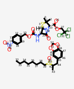 CC1(C)S[C@@H]2C(NC(=O)OCc3ccc([N+](=O)[O-])cc3)C(=O)N2[C@H]1C(=O)OCC(Cl)(Cl)Cl.CCCCCCCC[S+]([O-])C(C)Cc1ccc2c(c1)OCO2